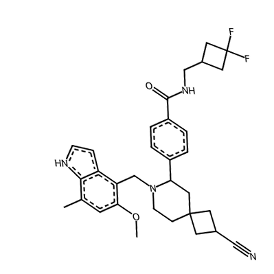 COc1cc(C)c2[nH]ccc2c1CN1CCC2(CC(C#N)C2)CC1c1ccc(C(=O)NCC2CC(F)(F)C2)cc1